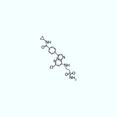 NS(=O)(=O)CCNc1cc(Cl)nn2c(-c3ccc(C(=O)NC4CC4)cc3)cnc12